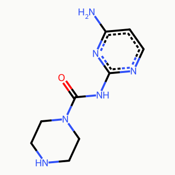 Nc1ccnc(NC(=O)N2CCNCC2)n1